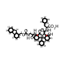 O=C(CNC(=O)OCc1cccc2c1Cc1ccccc1-2)NCC(=O)N(C(CS)C(=O)NC(Cc1ccccc1)C(=O)O)C(c1ccccc1)(c1ccccc1)c1ccccc1